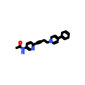 CC(=O)Nc1ccc(C#CCCN2C=CC(C3=CCC=CC3)=CC2)nc1